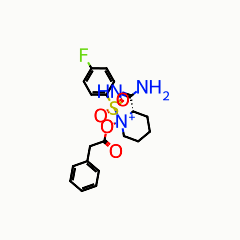 N=C(N)[C@@H]1CCCC[N+]1(OC(=O)Cc1ccccc1)S(=O)(=O)c1ccc(F)cc1